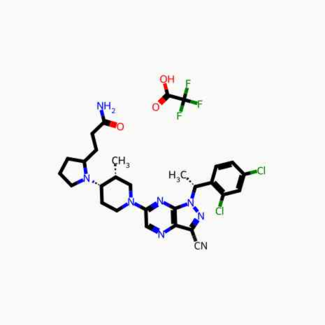 C[C@@H]1CN(c2cnc3c(C#N)nn([C@H](C)c4ccc(Cl)cc4Cl)c3n2)CC[C@@H]1N1CCCC1CCC(N)=O.O=C(O)C(F)(F)F